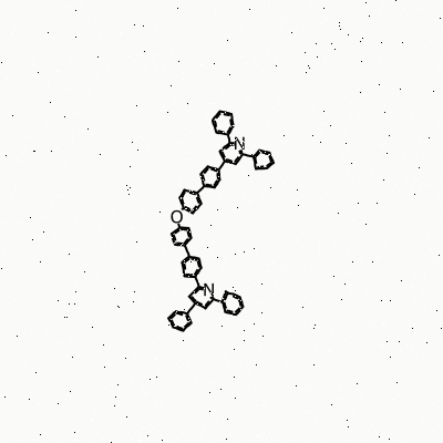 c1ccc(-c2cc(-c3ccccc3)nc(-c3ccc(-c4ccc(Oc5ccc(-c6ccc(-c7cc(-c8ccccc8)nc(-c8ccccc8)c7)cc6)cc5)cc4)cc3)c2)cc1